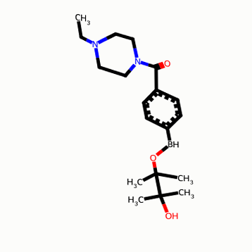 CCN1CCN(C(=O)c2ccc(BOC(C)(C)C(C)(C)O)cc2)CC1